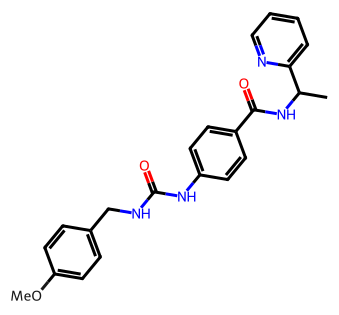 COc1ccc(CNC(=O)Nc2ccc(C(=O)NC(C)c3ccccn3)cc2)cc1